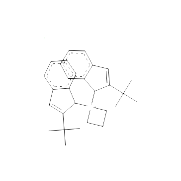 CC(C)(C)C1=Cc2ccccc2[CH]1[Ti+2]1([CH]2C(C(C)(C)C)=Cc3ccccc32)[CH2]C[CH2]1.[Cl-].[Cl-]